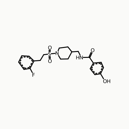 O=C(NCC1CCN(S(=O)(=O)CCc2ccccc2F)CC1)c1ccc(O)cc1